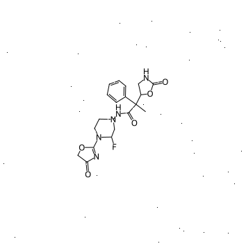 CC(C(=O)NN1CCN(C2=NC(=O)CO2)C(F)C1)(c1ccccc1)C1CNC(=O)O1